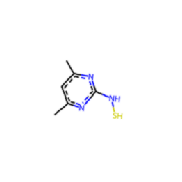 Cc1cc(C)nc(NS)n1